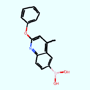 Cc1cc(Oc2ccccc2)nc2ccc(B(O)O)cc12